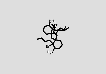 CCCCC1(CC2(CCCC)CCCC(N)C2(Br)CCCC)CCCC(N)C1(Br)CCCC